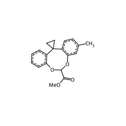 COC(=O)C1Oc2ccccc2C2(CC2)c2ccc(C)cc2O1